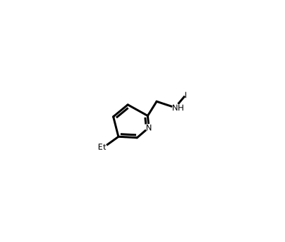 CCc1ccc(CNI)nc1